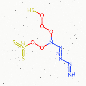 N=N/N=N/N(OOOS)OO[SH](=S)=S